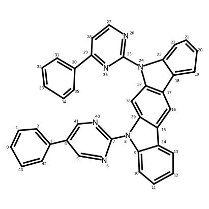 c1ccc(-c2cnc(-n3c4ccccc4c4cc5c6ccccc6n(-c6nccc(-c7ccccc7)n6)c5cc43)nc2)cc1